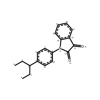 CCC(CC)c1ccc(N2C(=O)C(=O)c3ccccc32)cc1